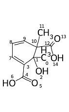 CC1(O)C(C(=O)O)=CC=CC1(C)C(=O)O